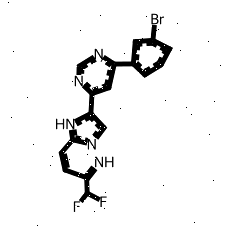 N=C(/C=C\c1ncc(-c2cc(-c3cccc(Br)c3)ncn2)[nH]1)C(F)F